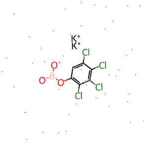 [K+].[K+].[O-]B([O-])Oc1cc(Cl)c(Cl)c(Cl)c1Cl